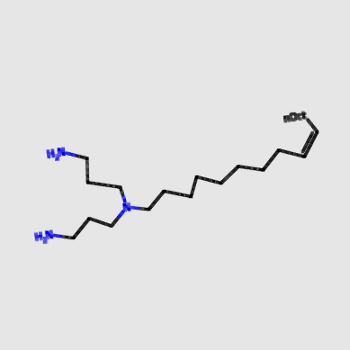 CCCCCCCC/C=C\CCCCCCCCN(CCCN)CCCN